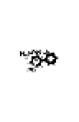 COc1ccccc1C1CC(N)CN(C(C)C)C1